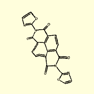 O=C1c2ccc3c4c(ccc(c24)C(=O)N1c1ncco1)C(=O)N(c1ncco1)C3=O